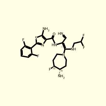 N=C/C(NC(=O)c1nc(-c2c(F)cccc2F)sc1N)=C(\NCC(F)F)N1CC[C@H](N)[C@@H](F)CC1